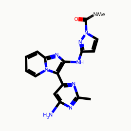 CNC(=O)n1ccc(Nc2nc3ccccn3c2-c2cc(N)nc(C)n2)n1